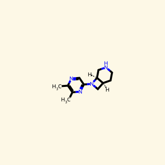 Cc1ncc(N2C[C@@H]3CCNC[C@@H]32)nc1C